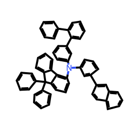 c1ccc(-c2ccccc2-c2cccc(N(c3cccc(-c4ccc5ccccc5c4)c3)c3cccc4c3-c3ccccc3C4(c3ccccc3)c3ccccc3)c2)cc1